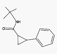 CC(C)(C)NC(=O)C1CC1c1ccccc1